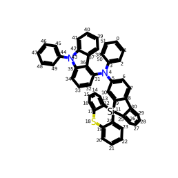 c1ccc(N(c2ccc3c(c2)[Si]2(c4ccccc4Sc4ccccc42)c2ccccc2-3)c2cccc3c2c2ccccc2n3-c2ccccc2)cc1